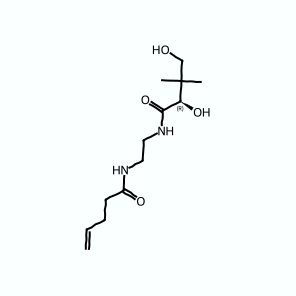 C=CCCC(=O)NCCNC(=O)[C@H](O)C(C)(C)CO